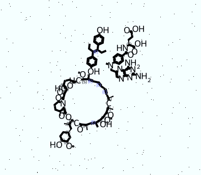 CC/C(=C(/CC)c1ccc(O)cc1)c1ccc(O)cc1.CN(Cc1cnc2nc(N)nc(N)c2n1)c1ccc(C(=O)N[C@@H](CCC(=O)O)C(=O)O)cc1.CO[C@H]1C[C@@H]2CC[C@@H](C)[C@@](O)(O2)C(=O)C(=O)N2CCCC[C@H]2C(=O)O[C@H]([C@H](C)C[C@@H]2CC[C@@H](O)[C@H](OC)C2)CC(=O)[C@H](C)/C=C(\C)[C@@H](O)[C@@H](OC)C(=O)[C@H](C)C[C@H](C)/C=C/C=C/C=C/1C